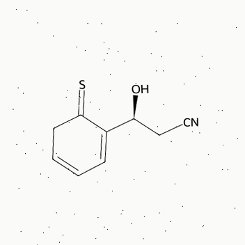 N#CC[C@H](O)C1=CC=CCC1=S